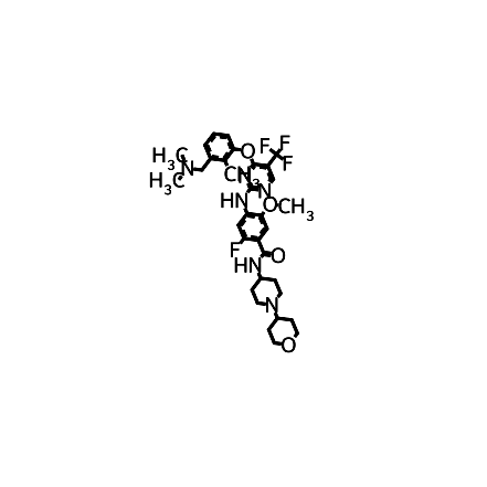 COc1cc(C(=O)NC2CCN(C3CCOCC3)CC2)c(F)cc1Nc1ncc(C(F)(F)F)c(Oc2cccc(CN(C)C)c2C)n1